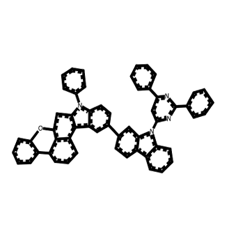 c1ccc(-c2cc(-n3c4ccccc4c4ccc(-c5ccc6c(c5)c5c7cccc8c7c(cc5n6-c5ccccc5)Oc5ccccc5-8)cc43)nc(-c3ccccc3)n2)cc1